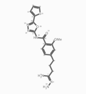 COc1cc(CCC/C(N)=N/N)ccc1C(=O)Nc1nnc(-c2cccs2)o1